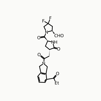 CCC(=O)c1cccc2c1CN(C(=O)C[C@@H]1C[C@@H](C(=O)N3CC(F)(F)C[C@H]3C=O)NC1=O)C2